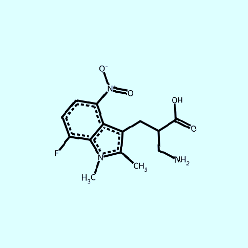 Cc1c(CC(CN)C(=O)O)c2c([N+](=O)[O-])ccc(F)c2n1C